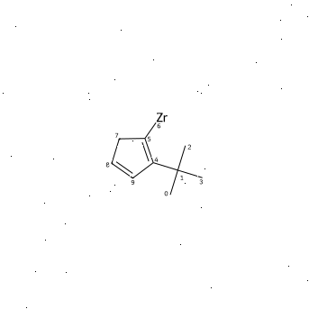 CC(C)(C)C1=[C]([Zr])CC=C1